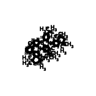 Cc1cc2c(cc1N1c3cc(C(C)C)ccc3B3c4ccc5oc6ccccc6c5c4N(c4cc5c(cc4C)C(C)(C)CCC5(C)C)c4cc(C(C)(C)C)cc1c43)C(C)(C)CCC2(C)C